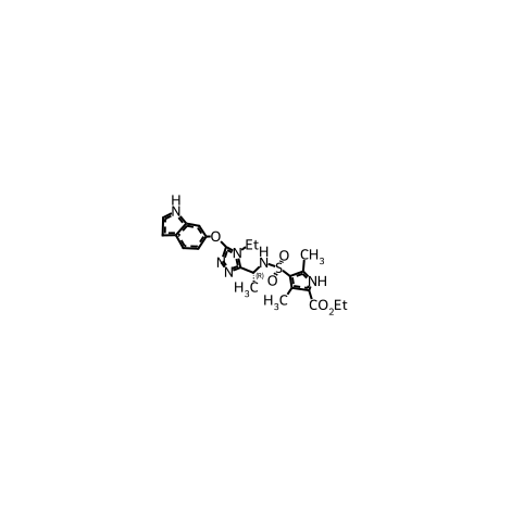 CCOC(=O)c1[nH]c(C)c(S(=O)(=O)N[C@H](C)c2nnc(Oc3ccc4cc[nH]c4c3)n2CC)c1C